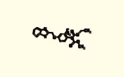 CCOC(=O)N(C(=O)OC)c1ccc(OCc2nc3ccccc3s2)cc1C